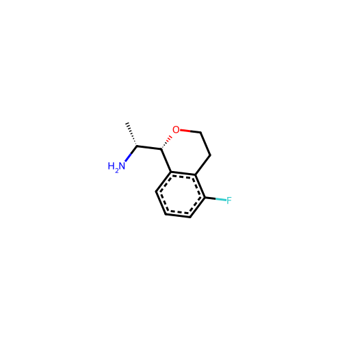 C[C@@H](N)[C@@H]1OCCc2c(F)cccc21